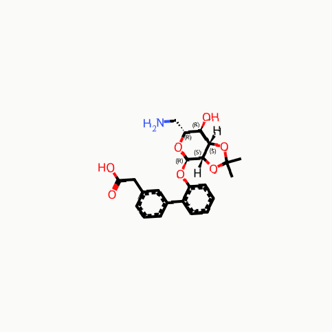 CC1(C)O[C@@H]2[C@@H](Oc3ccccc3-c3cccc(CC(=O)O)c3)O[C@H](CN)[C@@H](O)[C@@H]2O1